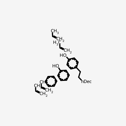 C=CC.C=CC.C=CC.C=CC.CCCCCCCCCCCCc1ccc(O)cc1.Oc1ccccc1.c1ccccc1